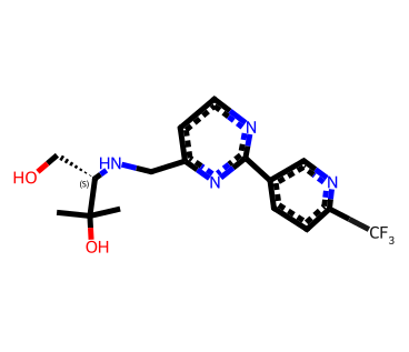 CC(C)(O)[C@H](CO)NCc1ccnc(-c2ccc(C(F)(F)F)nc2)n1